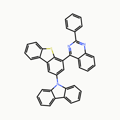 c1ccc(-c2nc(-c3cc(-n4c5ccccc5c5ccccc54)cc4c3sc3ccccc34)c3ccccc3n2)cc1